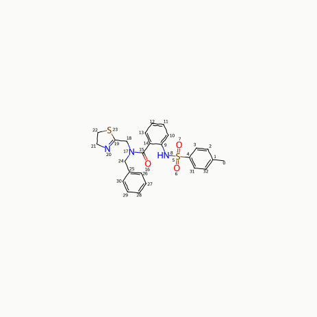 Cc1ccc(S(=O)(=O)Nc2ccccc2C(=O)N(CC2=NCCS2)Cc2ccccc2)cc1